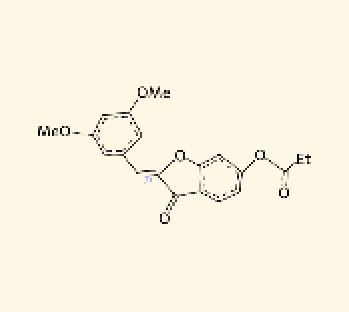 CCC(=O)Oc1ccc2c(c1)O/C(=C\c1cc(OC)cc(OC)c1)C2=O